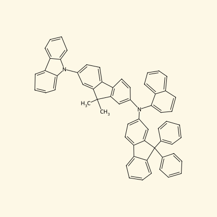 CC1(C)c2cc(N(c3ccc4c(c3)C(c3ccccc3)(c3ccccc3)c3ccccc3-4)c3cccc4ccccc34)ccc2-c2ccc(-n3c4ccccc4c4ccccc43)cc21